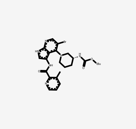 Cc1cccnc1C(=O)Nc1c[nH]c2ncc(Br)c(N3CCC[C@@H](NC(=O)OC(C)(C)C)C3)c12